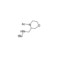 CC(=O)N1CCOCC1CNC(C)(C)C